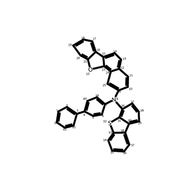 c1ccc(-c2ccc(N(c3ccc4ccc5c6ccccc6oc5c4c3)c3cccc4c3sc3ccccc34)cc2)cc1